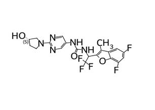 Cc1c(C(NC(=O)Nc2cnc(N3CC[C@H](O)C3)nc2)C(F)(F)F)oc2c(F)cc(F)cc12